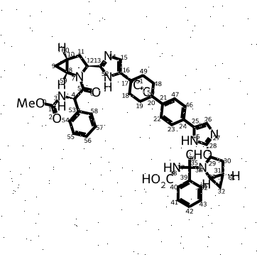 COC(=O)N[C@@H](C(=O)N1[C@@H]2C[C@@H]2C[C@H]1c1ncc(C23CCC(c4ccc(-c5cnc([C@@H]6C[C@H]7C[C@H]7N6C(C=O)(NC(=O)O)c6ccccc6)[nH]5)cc4)(CC2)CC3)[nH]1)c1ccccc1